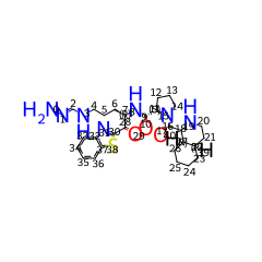 NN=CNCCC[C@@H](NC(=O)[C@@H]1CCCN1C(=O)C1NCC[C@H]2CCCC[C@@H]12)C(=O)c1nc2ccccc2s1